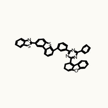 C1=c2oc3ccccc3c2=C(c2nc(-c3ccccc3)nc(-c3cccc(-c4cccc5c4sc4ccc(-c6nc7ccccc7s6)cc45)c3)n2)CC1